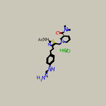 CC(=O)Nc1nc(CCc2ccc(NC=NN)cc2)c(CN2CCC[C@@H](C(=O)N(C)C)C2)s1.Cl.Cl